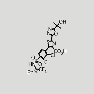 CC[C@H](NS(=O)(=O)c1ccc(-c2sc(-c3nnc(C(C)(C)O)o3)nc2C(=O)O)c(Cl)c1Cl)C(F)(F)F